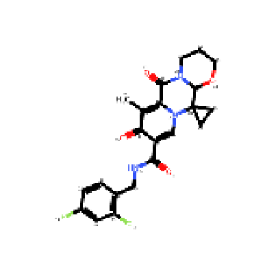 Cc1c2n(cc(C(=O)NCc3ccc(F)cc3F)c1=O)C1(CC1)C1OCCCN1C2=O